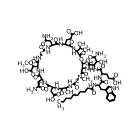 CCCCCCCCCC(=O)NC(Cc1c[nH]c2ccccc12)C(=O)NC(CCC(=O)O)C(=O)NC(C(=O)NC1C(=O)N(C)CC(=O)NC(C)C(=O)NC(CC(=O)O)C(=O)NC(CC(N)=O)C(=O)NC(C(OC)C(=O)O)C(=O)NCC(=O)NC(CC(N)=O)C(=O)NC(CCC(=O)O)C(=O)NC(C(C)C)C(=O)OC1C)C(O)C(N)=O